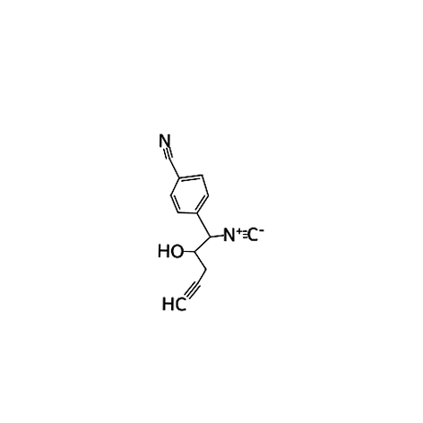 [C-]#[N+]C(c1ccc(C#N)cc1)C(O)CC#C